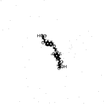 COc1cc2sc(C(=O)CC(C)(C)C(=O)O)cc2c(F)c1OCCCOc1ccc2cc(C(=O)CCC(=O)O)ccc2c1